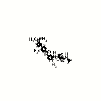 Cc1ccc(NC(=O)c2ccc(N3CC[C@@H](N(C)C)C3)c(C(F)(F)F)c2)cc1NOc1csc2c(NC3CC3)n[nH]c12